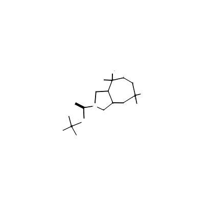 C=C(OC(C)(C)CC)N1CC2CC(O)(O)CCC(O)(O)C2C1